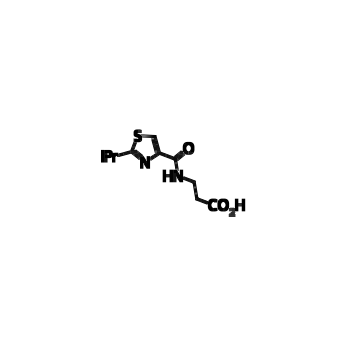 CC(C)c1nc(C(=O)NCCC(=O)O)cs1